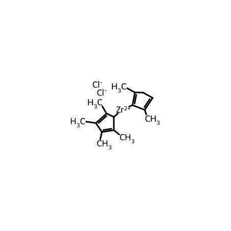 CC1=CCC(C)=[C]1[Zr+2][CH]1C(C)=C(C)C(C)=C1C.[Cl-].[Cl-]